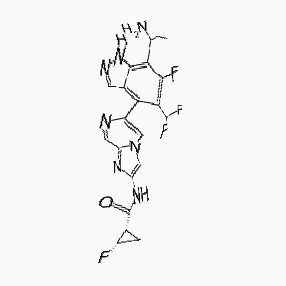 CC(N)c1c(F)c(C(F)F)c(-c2cn3cc(NC(=O)[C@@H]4C[C@@H]4F)nc3cn2)c2cn[nH]c12